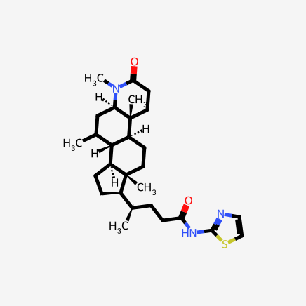 CC1C[C@H]2N(C)C(=O)CC[C@]2(C)[C@H]2CC[C@]3(C)[C@@H]([C@H](C)CCC(=O)Nc4nccs4)CC[C@H]3[C@H]12